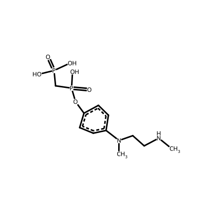 CNCCN(C)c1ccc(OP(=O)(O)CP(=O)(O)O)cc1